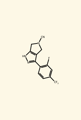 N#CN1Cc2[nH]nc(-c3ccc(C(F)(F)F)cc3F)c2C1